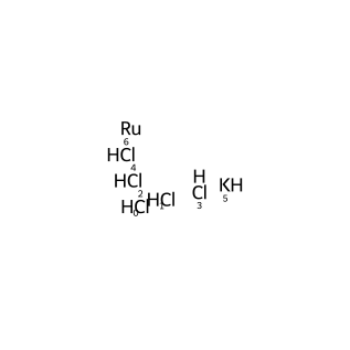 Cl.Cl.Cl.Cl.Cl.[KH].[Ru]